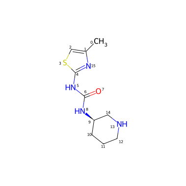 Cc1csc(NC(=O)N[C@@H]2CCCNC2)n1